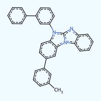 Cc1cccc(-c2ccc3c(c2)n2c4ccccc4nc2n3-c2cccc(-c3ccccc3)c2)c1